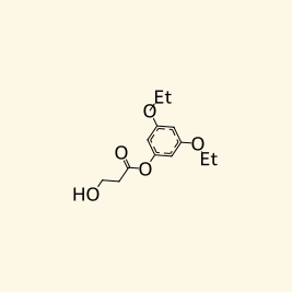 CCOc1cc(OCC)cc(OC(=O)CCO)c1